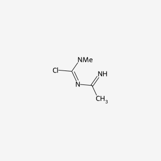 CN/C(Cl)=N\C(C)=N